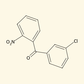 O=C(c1cccc(Cl)c1)c1ccccc1[N+](=O)[O-]